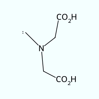 [CH]N(CC(=O)O)CC(=O)O